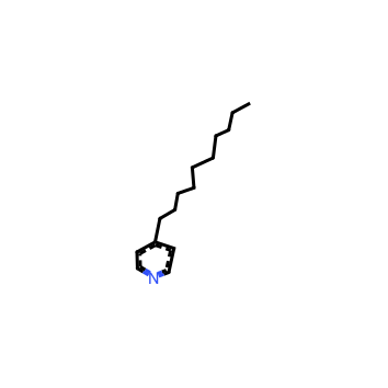 CCCCCCCCCCc1ccncc1